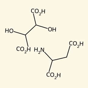 NC(CC(=O)O)C(=O)O.O=C(O)C(O)C(O)C(=O)O